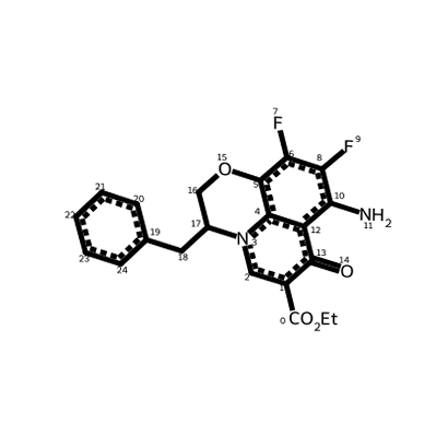 CCOC(=O)c1cn2c3c(c(F)c(F)c(N)c3c1=O)OCC2Cc1ccccc1